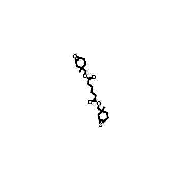 CC1(COC(=O)CCCCC(=O)OCC2(C)CCC3OC3C2)CCC2OC2C1